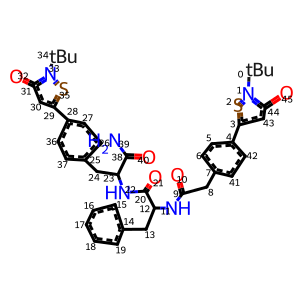 CC(C)(C)n1sc(-c2ccc(CC(=O)NC(Cc3ccccc3)C(=O)NC(Cc3ccc(-c4cc(=O)n(C(C)(C)C)s4)cc3)C(N)=O)cc2)cc1=O